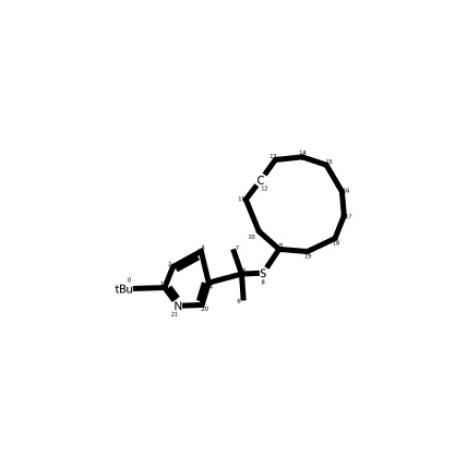 CC(C)(C)c1ccc(C(C)(C)SC2CCCCCCCCCC2)cn1